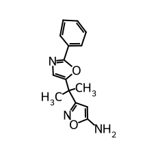 CC(C)(c1cc(N)on1)c1cnc(-c2ccccc2)o1